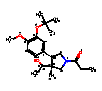 CCC(=O)N1C[C@@H](c2ccc(OC)c(OC(C)(C)C)c2)[C@](C)([C@@H](C)O)C1